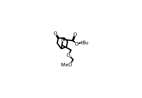 COCOCC1C2CCC(C(=O)C2)N1C(=O)OC(C)(C)C